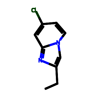 CCc1cn2ccc(Cl)cc2n1